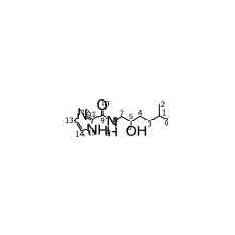 CC(C)CCC(O)CNC(=O)c1ncc[nH]1